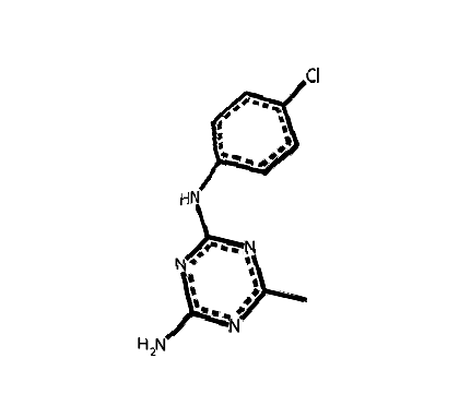 Cc1nc(N)nc(Nc2ccc(Cl)cc2)n1